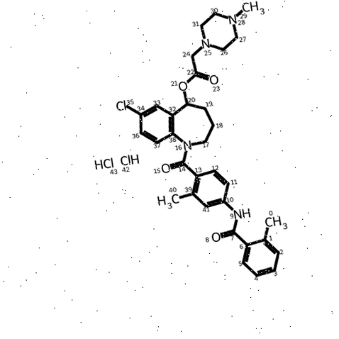 Cc1ccccc1C(=O)Nc1ccc(C(=O)N2CCCC(OC(=O)CN3CCN(C)CC3)c3cc(Cl)ccc32)c(C)c1.Cl.Cl